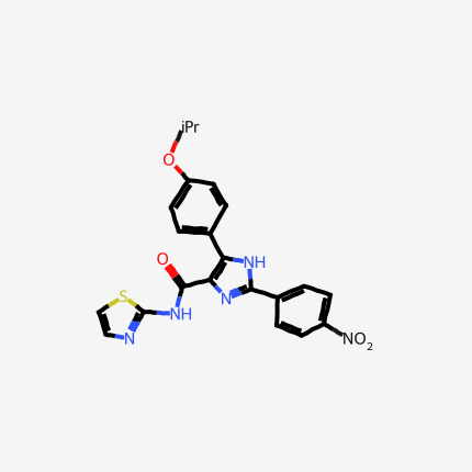 CC(C)Oc1ccc(-c2[nH]c(-c3ccc([N+](=O)[O-])cc3)nc2C(=O)Nc2nccs2)cc1